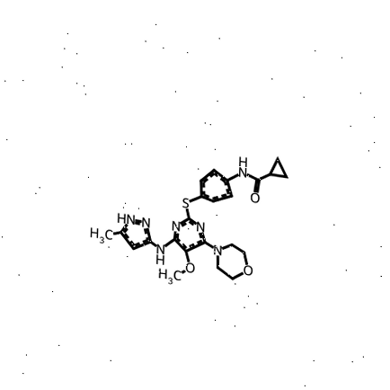 COc1c(Nc2cc(C)[nH]n2)nc(Sc2ccc(NC(=O)C3CC3)cc2)nc1N1CCOCC1